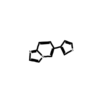 c1cn2cc(-c3ccsc3)ccc2n1